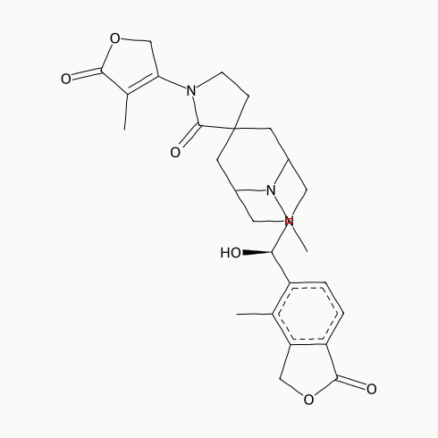 CC1=C(N2CCC3(CC4CN(C)CC(C3)N4C[C@H](O)c3ccc4c(c3C)COC4=O)C2=O)COC1=O